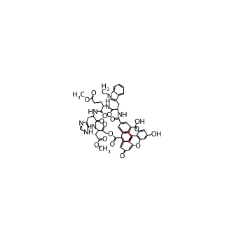 COC(=O)CCC(NC(=O)C(Cc1cn(C)c2ccccc12)NC(=O)c1ccc(-c2c3ccc(=O)cc-3oc3cc(O)ccc23)c(C(=O)O)c1)C(=O)NC(Cc1c[nH]cn1)C(=O)NC(CC(=O)OC)C(=O)COC(=O)c1ccccc1